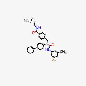 Cc1cc(Br)cc(NC(=O)C(Cc2ccc(C(=O)NCCC(=O)O)cc2)c2ccc(C3=CCCCC3)cc2)c1